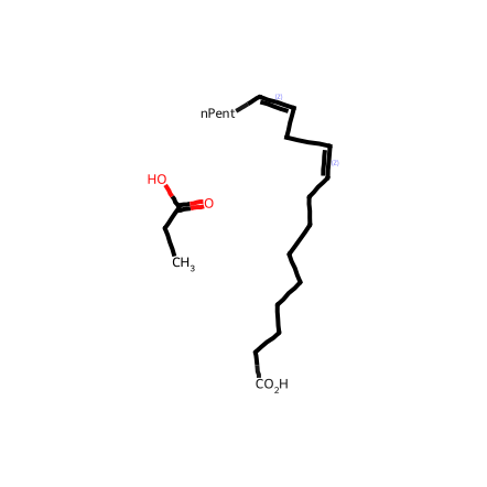 CCC(=O)O.CCCCC/C=C\C/C=C\CCCCCCCC(=O)O